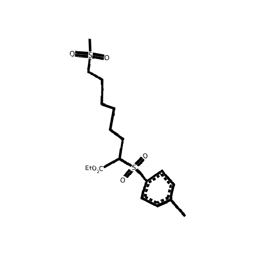 CCOC(=O)C(CCCCCCS(C)(=O)=O)S(=O)(=O)c1ccc(C)cc1